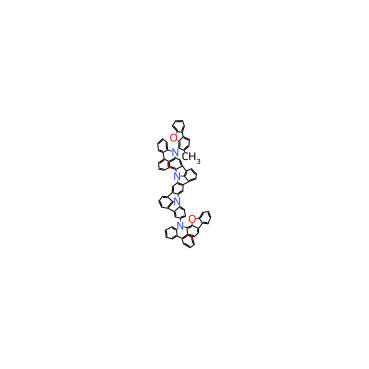 Cc1ccc2c(oc3ccccc32)c1N(c1ccc2c(c1)c1cccc3c4cc5c(cc4n2c13)c1cccc2c3cc(N(c4ccccc4-c4ccccc4)c4cccc6c4oc4ccccc46)ccc3n5c21)c1ccccc1-c1ccccc1